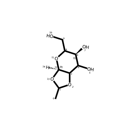 CC1OC2C(O)[C@H](O)C(CO)O[C@@H]2O1